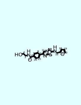 O=C(NCCO)c1ccc(-c2cn3nc(NCc4ccco4)sc3n2)cc1